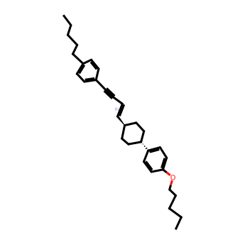 CCCCCOc1ccc([C@H]2CC[C@H](/C=C/C#Cc3ccc(CCCCC)cc3)CC2)cc1